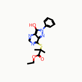 CCOC(=O)C(C)(C)Sc1ncnc2c(O)n(-c3ccccc3)nc12